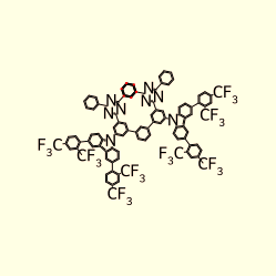 FC(F)(F)c1ccc(-c2ccc3c(c2)c2cc(-c4ccc(C(F)(F)F)cc4C(F)(F)F)ccc2n3-c2cc(-c3cccc(-c4cc(-c5nc(-c6ccccc6)nc(-c6ccccc6)n5)cc(-n5c6ccc(-c7ccc(C(F)(F)F)cc7C(F)(F)F)cc6c6cc(-c7ccc(C(F)(F)F)cc7C(F)(F)F)ccc65)c4)c3)cc(-c3nc(-c4ccccc4)nc(-c4ccccc4)n3)c2)c(C(F)(F)F)c1